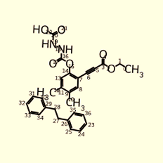 CCOC(=O)C#Cc1cc(C)c(C)cc1OC(=O)NNC(=O)O.c1ccc(CCc2ccccc2)cc1